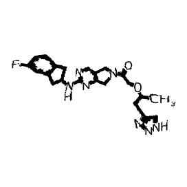 CC(Cc1c[nH]nn1)OCC(=O)N1Cc2cnc(NC3Cc4ccc(F)cc4C3)nc2C1